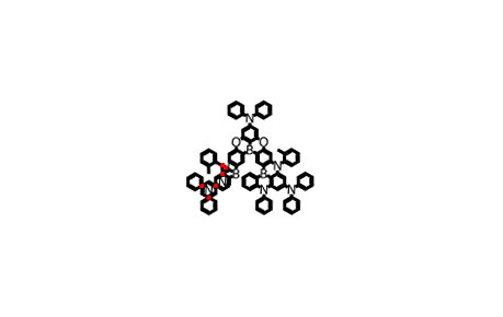 Cc1ccccc1N1c2cc3c(cc2B2c4ccccc4N(c4ccccc4)c4cc(N(c5ccccc5)c5ccccc5)cc1c42)B1c2cc4c(cc2Oc2cc(N(c5ccccc5)c5ccccc5)cc(c21)O3)N(c1ccccc1C)c1cc(N(c2ccccc2)c2ccccc2)cc2c1B4c1ccccc1N2c1ccccc1